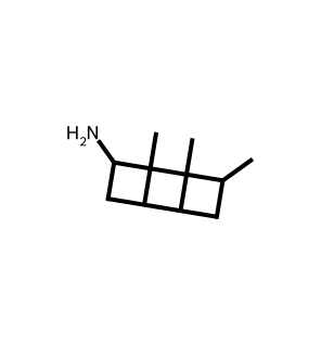 CC1CC2C3CC(N)C3(C)C12C